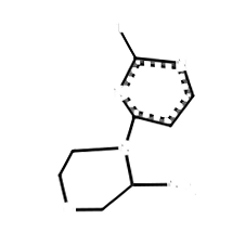 O=[N+]([O-])C1COCCN1c1ccnc(Cl)n1